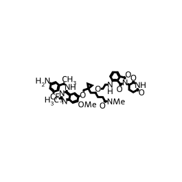 CNC(=O)CCC(CC1(COc2cc3c(N[C@H](C)c4cc(N)cc(C(F)(F)F)c4)nc(C)nc3cc2OC)CC1)OCCNc1cccc2c1C(=O)N(C1CCC(=O)NC1=O)C2=O